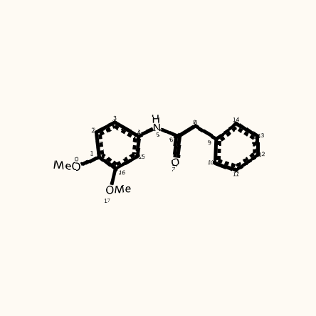 COc1ccc(NC(=O)Cc2ccccc2)cc1OC